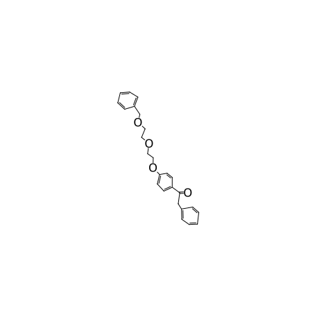 O=C(Cc1ccccc1)c1ccc(OCCOCCOCc2ccccc2)cc1